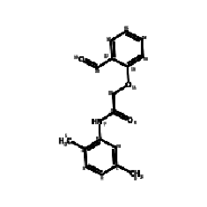 Cc1ccc(C)c(NC(=O)COc2ccccc2C=O)c1